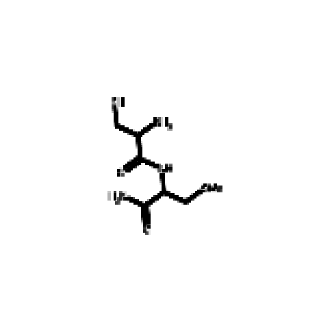 CSCC(NC(=O)C(N)CS)C(N)=O